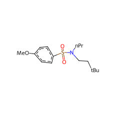 CCCN(CCC(C)(C)C)S(=O)(=O)c1ccc(OC)cc1